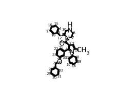 Cc1cc(C(=O)N2CCNC[C@H]2Cc2ccccc2)c(-c2cccc(OCc3ccccc3)c2)n1-c1ccccc1